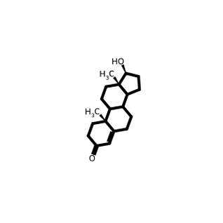 C[C@]12CCC(=O)C=C1CCC1C2CC[C@@]2(C)C1CC[C@@H]2O